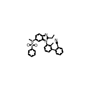 CCc1nc2ccc(N(C)S(=O)(=O)c3ccccc3)cc2n1-c1cccc(-c2ccccc2C#N)c1C